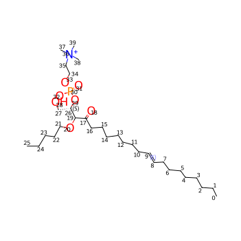 CCCCCCCC/C=C/CCCCCCCC(=O)C(OCCCCC)[C@H](CO)OP(=O)([O-])OCC[N+](C)(C)C